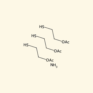 CC(=O)OCCS.CC(=O)OCCS.CC(=O)OCCS.N